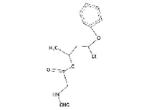 CCC(CC(C)OC(=O)CNC=O)Oc1ccccc1